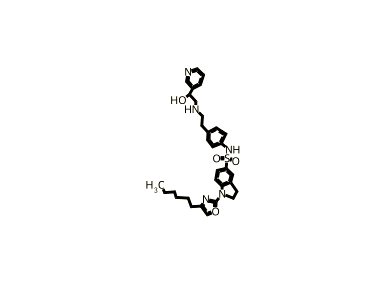 CCCCCCc1coc(N2CCc3cc(S(=O)(=O)Nc4ccc(CCNCC(O)c5cccnc5)cc4)ccc32)n1